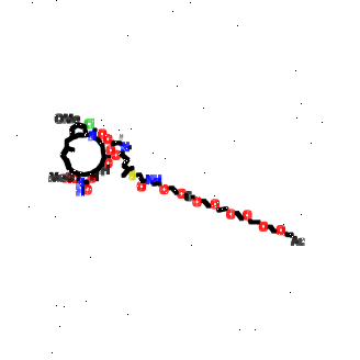 COc1cc2cc(c1Cl)N(C)C(=O)C[C@H](OC(=O)[C@H](C)N(C)C(=O)CCC(C)(C)SCC(=O)NCCOCCOCCOCCOCCOCCOCCOCCOCCC(C)=O)[C@]1(C)O[C@H]1[C@H](C)[C@@H]1C[C@@](O)(NC(=O)O1)[C@H](OC)/C=C/C=C(\C)C2